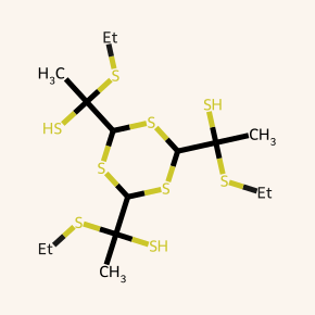 CCSC(C)(S)C1SC(C(C)(S)SCC)SC(C(C)(S)SCC)S1